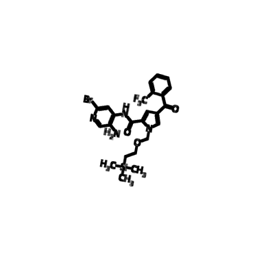 C[Si](C)(C)CCOCn1cc(C(=O)c2ccccc2C(F)(F)F)cc1C(=O)Nc1cc(Br)ncc1N